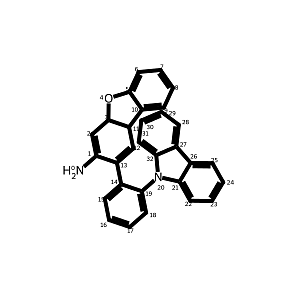 NC1=CC2Oc3ccccc3C2C=C1c1ccccc1-n1c2ccccc2c2ccccc21